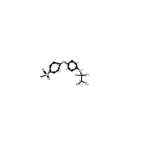 CS(=O)(=O)c1ccc(Oc2ccc(OC(F)(F)C(Cl)Cl)cc2)cc1